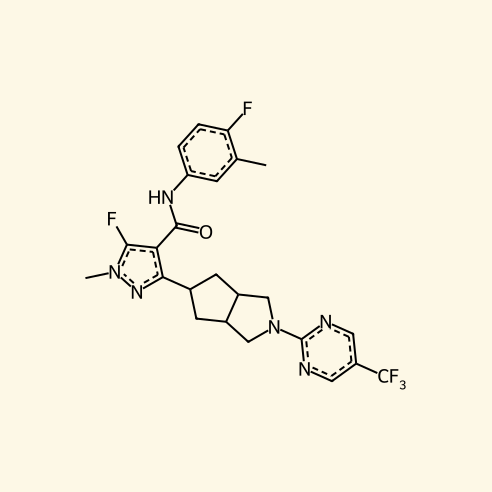 Cc1cc(NC(=O)c2c(C3CC4CN(c5ncc(C(F)(F)F)cn5)CC4C3)nn(C)c2F)ccc1F